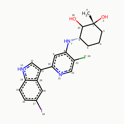 C[C@@]1(O)CCC[C@H](Nc2cc(-c3c[nH]c4ccc(I)cc34)ncc2F)C1O